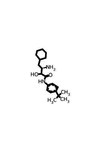 CC(C)(C)c1ccc(NC(=O)C(O)[C@H](N)CC2CCCCC2)cc1